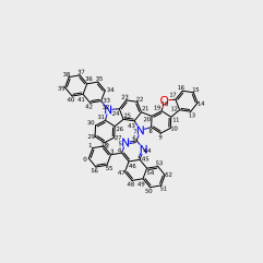 c1ccc(-c2nc(-n3c4ccc5c6ccccc6oc5c4c4ccc5c(c6ccccc6n5-c5ccc6ccccc6c5)c43)nc3c2ccc2ccccc23)cc1